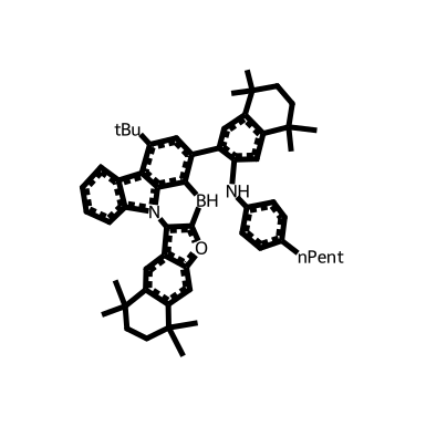 CCCCCc1ccc(Nc2cc3c(cc2-c2cc(C(C)(C)C)c4c5ccccc5n5c4c2Bc2oc4cc6c(cc4c2-5)C(C)(C)CCC6(C)C)C(C)(C)CCC3(C)C)cc1